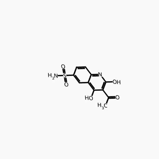 CC(=O)c1c(O)nc2ccc(S(N)(=O)=O)cc2c1O